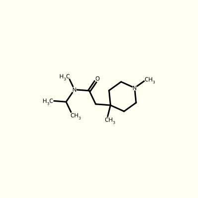 CC(C)N(C)C(=O)CC1(C)CCN(C)CC1